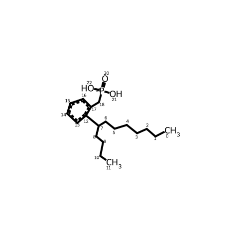 CCCCCCCC(CCCC)c1ccccc1CP(=O)(O)O